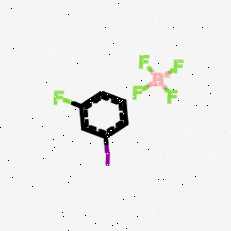 F[B-](F)(F)F.Fc1cccc(I)c1